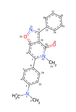 CN(C)c1ccc(-c2cc3onc(-c4ccccc4)c3c(=O)n2C)cc1